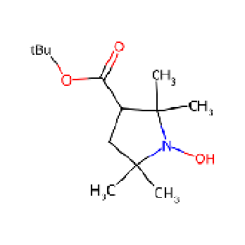 CC(C)(C)OC(=O)C1CC(C)(C)N(O)C1(C)C